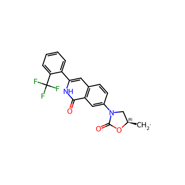 [CH2][C@@H]1CN(c2ccc3cc(-c4ccccc4C(F)(F)F)[nH]c(=O)c3c2)C(=O)O1